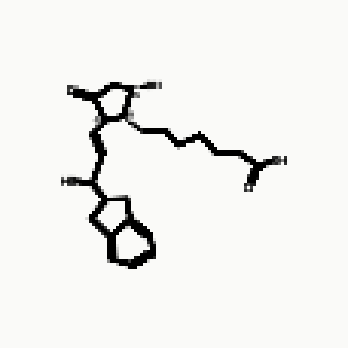 O=C(O)CCCCCC[C@H]1[C@@H](O)CC(=O)[C@@H]1C=CC(O)C1Cc2ccccc2C1